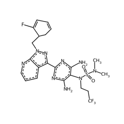 CN(C)S(=O)(=O)N(CCC(F)(F)F)c1c(N)nc(-c2nn(CC3CC=CC=C3F)c3ncccc23)nc1N